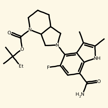 CCC(C)(C)OC(=O)N1CCCC2CN(c3c(F)cc(C(N)=O)c4[nH]c(C)c(C)c34)CC21